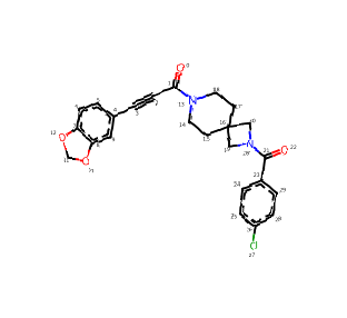 O=C(C#Cc1ccc2c(c1)OCO2)N1CCC2(CC1)CN(C(=O)c1ccc(Cl)cc1)C2